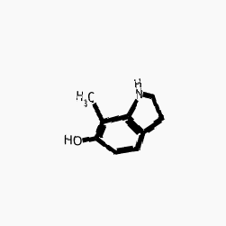 Cc1c(O)ccc2c1NCC2